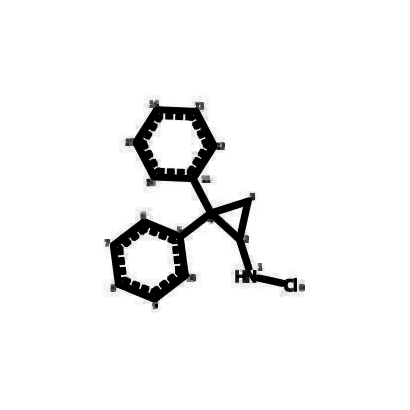 ClNC1CC1(c1ccccc1)c1ccccc1